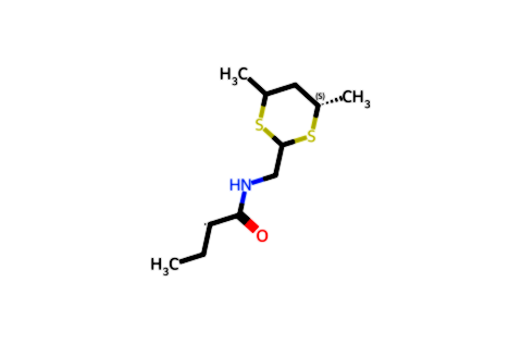 CC[CH]C(=O)NCC1SC(C)C[C@H](C)S1